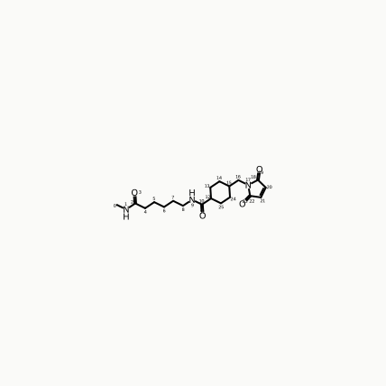 CNC(=O)CCCCCNC(=O)C1CCC(CN2C(=O)C=CC2=O)CC1